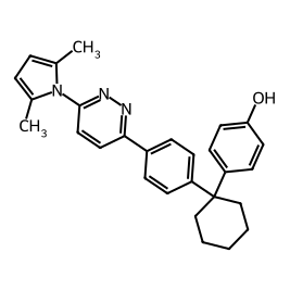 Cc1ccc(C)n1-c1ccc(-c2ccc(C3(c4ccc(O)cc4)CCCCC3)cc2)nn1